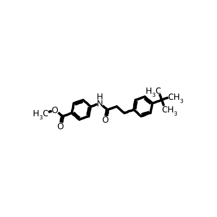 COC(=O)c1ccc(NC(=O)CCc2ccc(C(C)(C)C)cc2)cc1